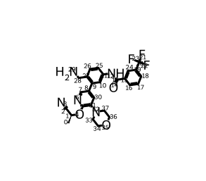 C[C@@H](C#N)Oc1ncc(-c2cc(NC(=O)c3cccc(C(F)(F)F)c3)ccc2CN)cc1N1CCOCC1